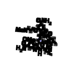 CCn1nc(C)cc1C(=O)Nc1nc2cc(C(N)=O)cc(OC)c2n1C/C=C/Cn1c(NC(=O)c2cc(C)nn2CC)nc2cc(C(N)=O)cc(OCCCNC)c21